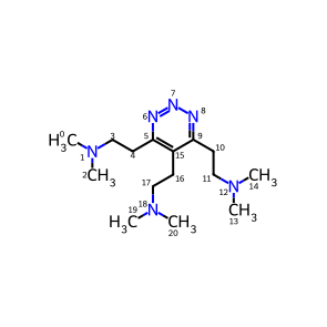 CN(C)CCc1nnnc(CCN(C)C)c1CCN(C)C